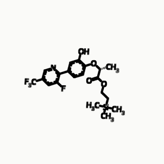 C[C@@H](Oc1ccc(-c2ncc(C(F)(F)F)cc2F)cc1O)C(=O)OCC[Si](C)(C)C